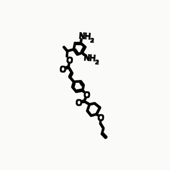 C=CCCOC1CCC(C(=O)Oc2ccc(/C=C/C(=O)OCC(C)c3cc(N)cc(N)c3)cc2)CC1